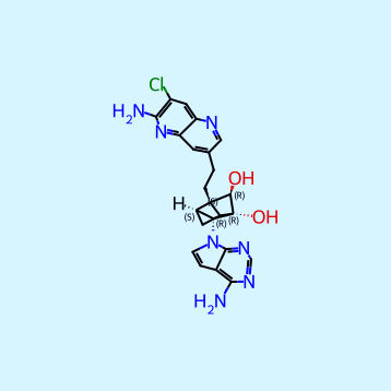 Nc1nc2cc(CC[C@@]34C5C[C@@H]3[C@@H](n3ccc6c(N)ncnc63)[C@@]5(O)[C@@H]4O)cnc2cc1Cl